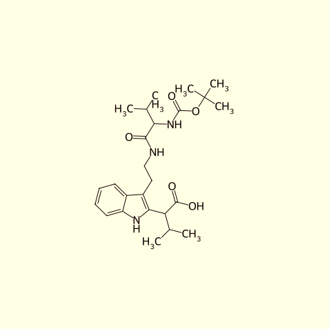 CC(C)C(NC(=O)OC(C)(C)C)C(=O)NCCc1c(C(C(=O)O)C(C)C)[nH]c2ccccc12